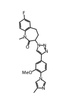 COc1cc(-c2cn(C3CCc4cc(F)ccc4N(C)C3=O)nn2)ccc1-n1cnc(C)c1